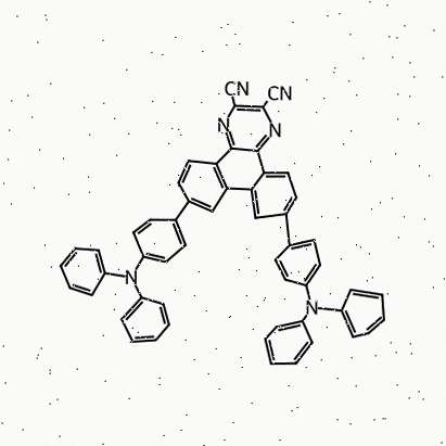 N#Cc1nc2c3ccc(-c4ccc(N(c5ccccc5)c5ccccc5)cc4)cc3c3cc(-c4ccc(N(c5ccccc5)c5ccccc5)cc4)ccc3c2nc1C#N